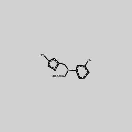 CCCn1cnc(CN(CC(=O)O)c2cccc(C#N)c2)c1